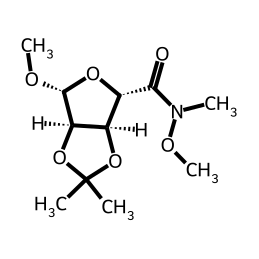 CO[C@@H]1O[C@H](C(=O)N(C)OC)[C@H]2OC(C)(C)O[C@@H]12